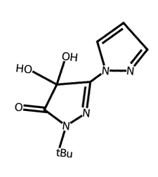 CC(C)(C)N1N=C(n2cccn2)C(O)(O)C1=O